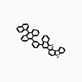 c1cc(-c2c3ccccc3c(-c3cccc4ccccc34)c3ccccc23)cc(-c2cc3c4ccc5sc6ccccc6c5c4sc3c3ccccc23)c1